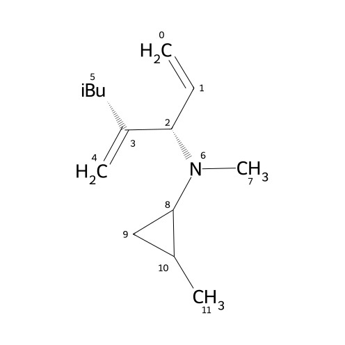 C=C[C@@H](C(=C)[C@@H](C)CC)N(C)C1CC1C